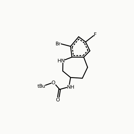 CC(C)(C)OC(=O)NC1CCc2cc(F)cc(Br)c2NC1